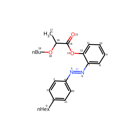 CCCCCCc1ccc(/N=N/c2ccccc2OC(=O)C(C)OCCCC)cc1